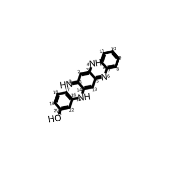 N=C1C=C(N)/C(=N\c2ccccc2)C=C1Nc1cccc(O)c1